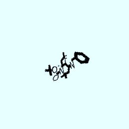 CCC[C@@]1(C)[C@H](F)/C(=N\Cc2ccccc2)CC(C)(C)N1C(=O)OC(C)(C)C